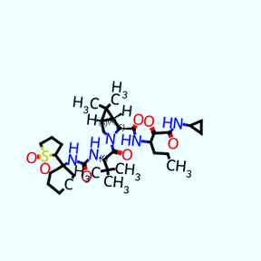 CCCC(NC(=O)[C@@H]1[C@@H]2[C@H](CN1C(=O)[C@@H](NC(=O)NC1(C3CCCS3(=O)=O)CCCCC1)C(C)(C)C)C2(C)C)C(=O)C(=O)NC1CC1